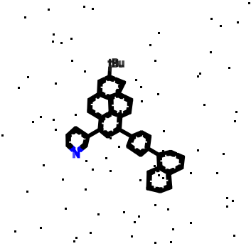 CC(C)(C)c1cc2ccc3c(-c4ccc(-c5cccc6ccccc56)cc4)cc(-c4cccnc4)c4ccc(c1)c2c34